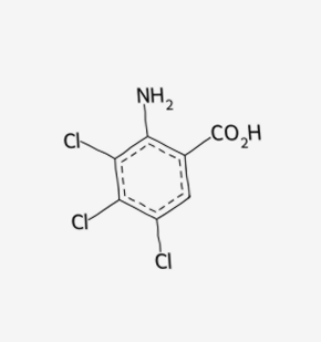 Nc1c(C(=O)O)cc(Cl)c(Cl)c1Cl